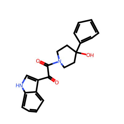 O=C(C(=O)N1CCC(O)(c2ccccc2)CC1)c1c[nH]c2ccccc12